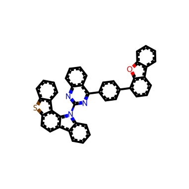 c1ccc2c(-c3ccc(-c4cccc5c4oc4ccccc45)cc3)nc(-n3c4ccccc4c4ccc5sc6ccccc6c5c43)nc2c1